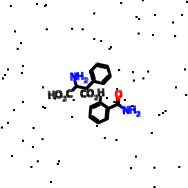 NC(=O)c1ccccc1C(=O)O.NC(Cc1ccccc1)C(=O)O